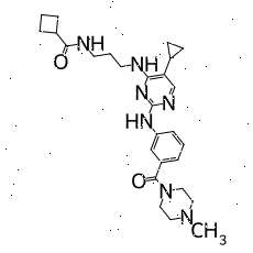 CN1CCN(C(=O)c2cccc(Nc3ncc(C4CC4)c(NCCCNC(=O)C4CCC4)n3)c2)CC1